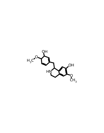 COc1cc2c(cc1O)C(CC1=CC(O)C(OC)C=C1)NCC2